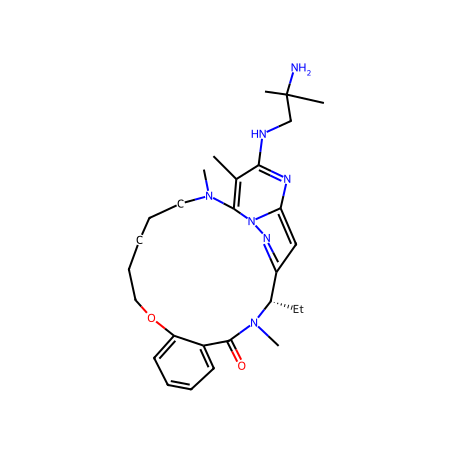 CC[C@H]1c2cc3nc(NCC(C)(C)N)c(C)c(n3n2)N(C)CCCCCOc2ccccc2C(=O)N1C